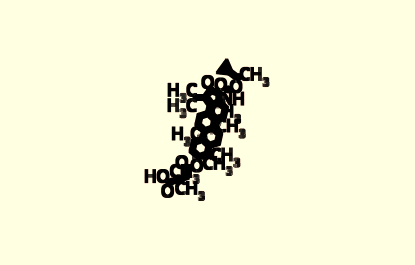 CC(C)C1=C2C3CCC4[C@@]5(C)CC[C@H](OC(=O)CC(C)(C)C(=O)O)C(C)(C)C5CC[C@@]4(C)[C@]3(C)CC[C@@]2(NC(=O)OC(C)C2CC2)CC1=O